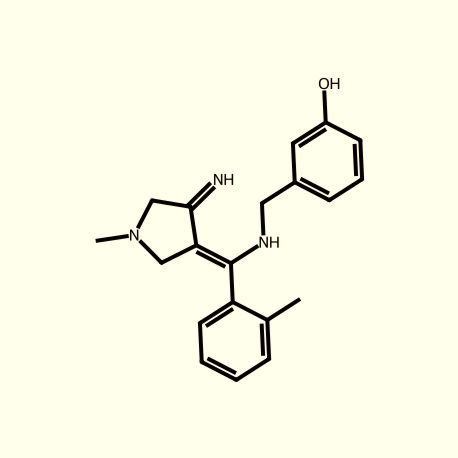 Cc1ccccc1/C(NCc1cccc(O)c1)=C1\CN(C)CC1=N